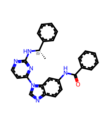 C[C@H](Nc1nccc(-n2cnc3ccc(NC(=O)c4ccccc4)cc32)n1)c1ccccc1